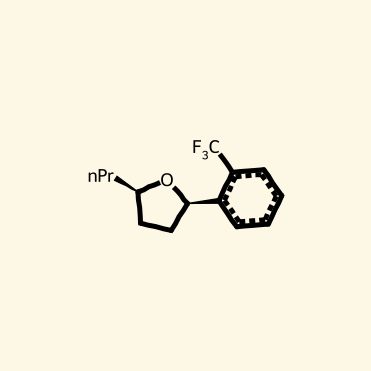 CCC[C@@H]1CC[C@H](c2ccccc2C(F)(F)F)O1